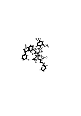 Cc1cc(C)c(S(=O)(=O)NC(C(=O)Oc2ccc3[nH]nc(-c4ccccc4)c3c2)C(CCCNc2ccccn2)(NC=O)OC(=O)C(F)(F)F)c(C)c1